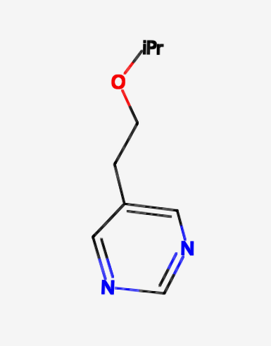 CC(C)OCCc1cncnc1